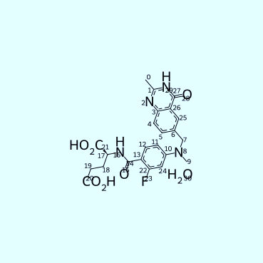 Cc1nc2ccc(CN(C)c3ccc(C(=O)N[C@@H](CCC(=O)O)C(=O)O)c(F)c3)cc2c(=O)[nH]1.O